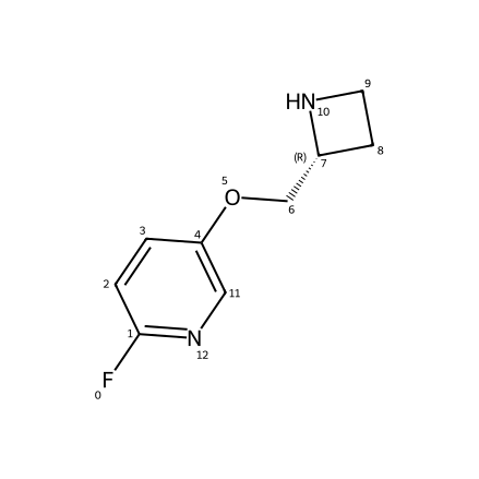 Fc1ccc(OC[C@H]2CCN2)cn1